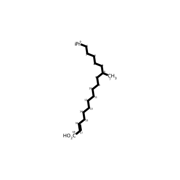 CC(C)CCCCCC(C)CCCCCCCCC=CC(=O)O